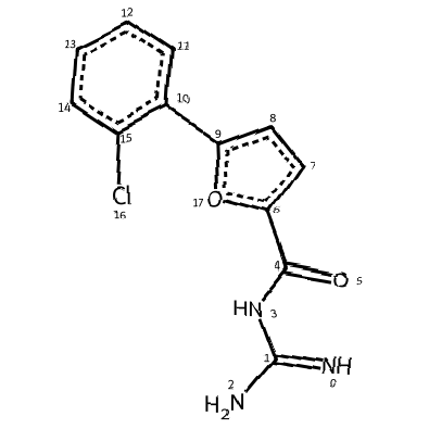 N=C(N)NC(=O)c1ccc(-c2ccccc2Cl)o1